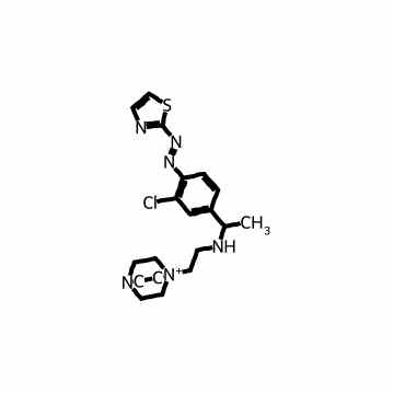 CC(NCC[N+]12CCN(CC1)CC2)c1ccc(N=Nc2nccs2)c(Cl)c1